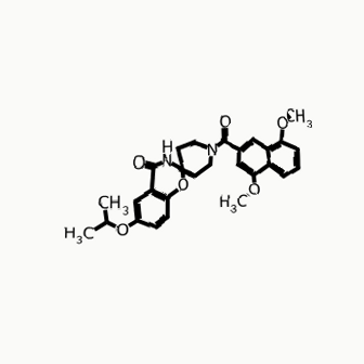 COc1cc(C(=O)N2CCC3(CC2)NC(=O)c2cc(OC(C)C)ccc2O3)cc2c(OC)cccc12